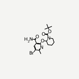 Cc1nc(OC2CCCCN2C(=O)OC(C)(C)C)c(C(N)=O)cc1Br